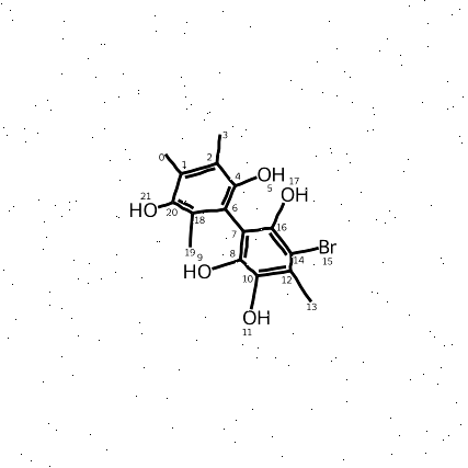 Cc1c(C)c(O)c(-c2c(O)c(O)c(C)c(Br)c2O)c(C)c1O